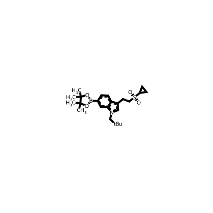 CC(C)(C)Cn1cc(CCS(=O)(=O)C2CC2)c2ccc(B3OC(C)(C)C(C)(C)O3)cc21